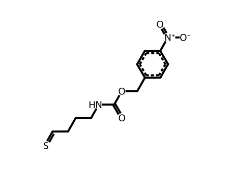 O=C(NCCCC=S)OCc1ccc([N+](=O)[O-])cc1